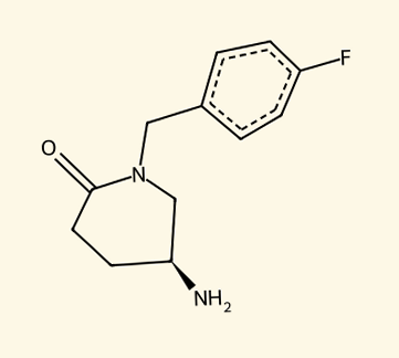 N[C@H]1CCC(=O)N(Cc2ccc(F)cc2)C1